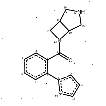 O=C(c1ccccc1-c1cccs1)N1CC2CNCC21